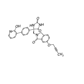 CC#CCOc1ccc2c(c1)C(=O)N(C[C@@]1(c3ccc(-c4cccnc4O)cc3)NC(=O)NC1=O)C2